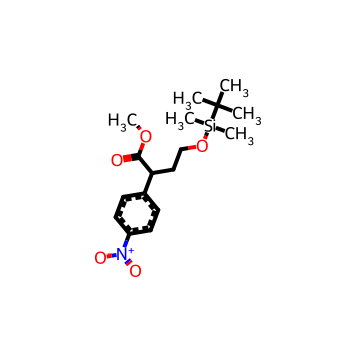 COC(=O)C(CCO[Si](C)(C)C(C)(C)C)c1ccc([N+](=O)[O-])cc1